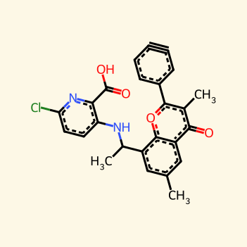 Cc1cc(C(C)Nc2ccc(Cl)nc2C(=O)O)c2oc(-c3cc#ccc3)c(C)c(=O)c2c1